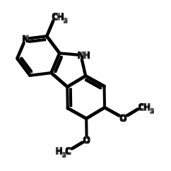 COC1C=c2[nH]c3c(C)nccc3c2=CC1OC